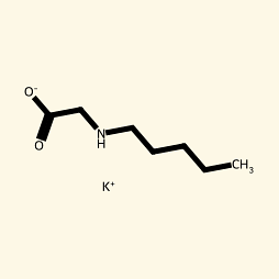 CCCCCNCC(=O)[O-].[K+]